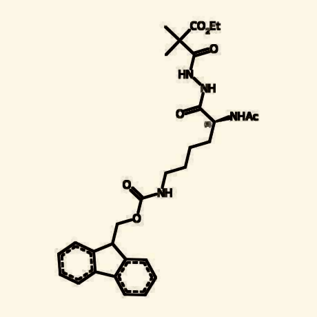 CCOC(=O)C(C)(C)C(=O)NNC(=O)[C@H](CCCCNC(=O)OCC1c2ccccc2-c2ccccc21)NC(C)=O